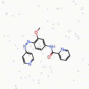 COc1cc(NC(=O)c2ccccn2)ccc1/N=N\c1ccncc1